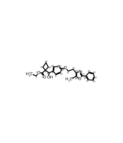 CCOC(=O)C1(C(O)c2ccc(OCCc3nc(-c4ccccc4)oc3C)nc2)CCC1